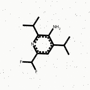 CC(C)c1cc(C(F)F)nc(C(C)C)c1N